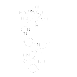 C[C@@H]1CN(c2nc(-n3ccc(OCC(C(O)(O)O)(C(O)(O)O)C(O)(O)O)n3)ccc2C(=O)NS(=O)(=O)c2cccnc2N)C(C)(C)C1